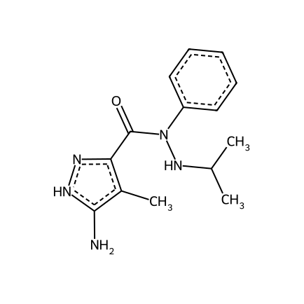 Cc1c(C(=O)N(NC(C)C)c2ccccc2)n[nH]c1N